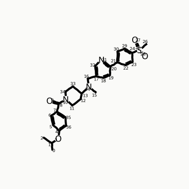 CC(C)Oc1ccc(C(=O)N2CCC(N(C)Cc3ccc(-c4ccc(S(C)(=O)=O)cc4)nc3)CC2)cc1